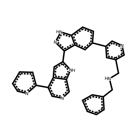 c1ccc(CNCc2cncc(-c3ccc4[nH]nc(-c5cc6c(-c7ccccn7)cncc6[nH]5)c4c3)c2)cc1